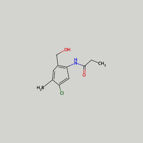 Bc1cc(CO)c(NC(=O)CC)cc1Cl